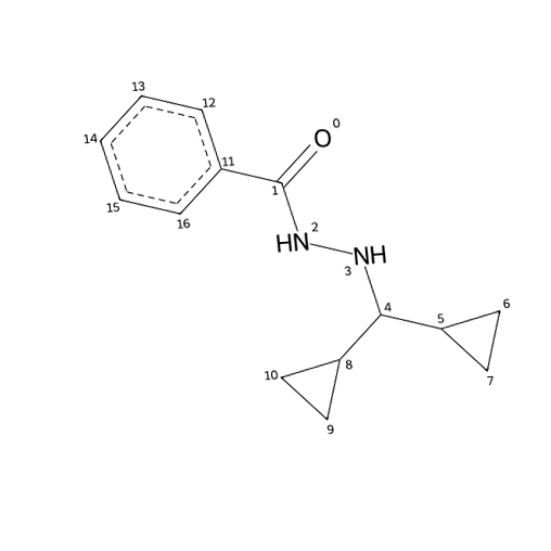 O=C(NNC(C1CC1)C1CC1)c1ccccc1